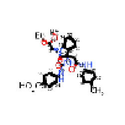 CCOC(CN1C(=O)C(CC(=O)Nc2ccc(C)cc2)(NC(=O)Nc2ccc(C(=O)O)cc2)c2ccccc21)OCC